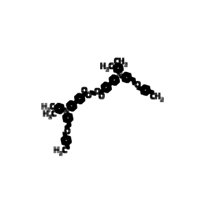 C=Cc1ccc(COCCc2ccc(N(c3ccc(-c4ccc(C(=O)OCCOC(=O)c5ccc(-c6ccc(N(c7ccc(CCOCc8ccc(C=C)cc8)cc7)c7ccc(C)c(C)c7)cc6)cc5)cc4)cc3)c3ccc(C)c(C)c3)cc2)cc1